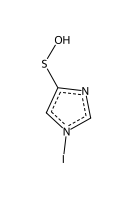 OSc1cn(I)cn1